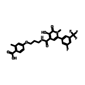 Cc1cc(OCCCNC(=O)c2cc(-c3cc(F)cc(C(F)(F)F)c3)n(C)c(=O)c2O)ccc1C(=O)O